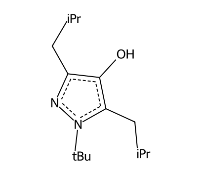 CC(C)Cc1nn(C(C)(C)C)c(CC(C)C)c1O